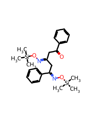 C[Si](C)(C)O/N=C(\CC(=O)c1ccccc1)C/C(=N\O[Si](C)(C)C)c1ccccc1